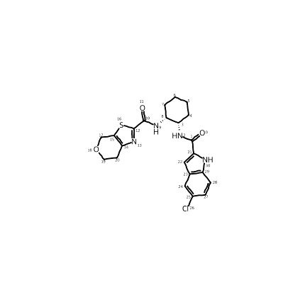 O=C(N[C@H]1CCCC[C@H]1NC(=O)c1nc2c(s1)COCC2)c1cc2cc(Cl)ccc2[nH]1